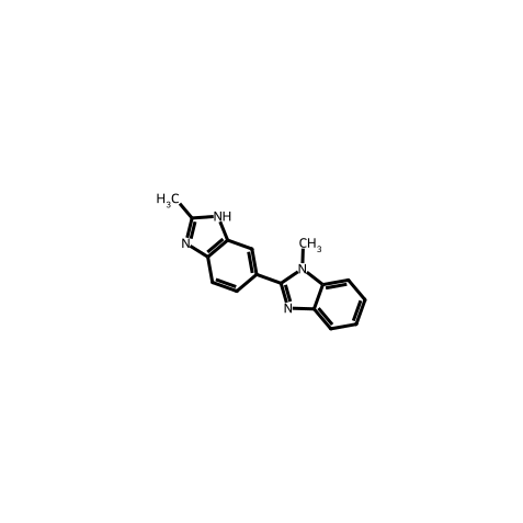 Cc1nc2ccc(-c3nc4ccccc4n3C)cc2[nH]1